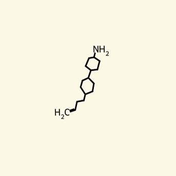 C=CCCC1CCC(C2CCC(N)CC2)CC1